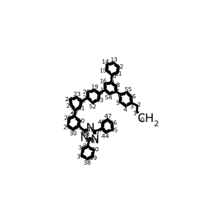 C=CCc1ccc(-c2cc(-c3ccccc3)cc(-c3ccc(-c4cccc(-c5cccc(-c6nc(-c7ccccc7)nc(-c7ccccc7)n6)c5)c4)cc3)c2)cc1